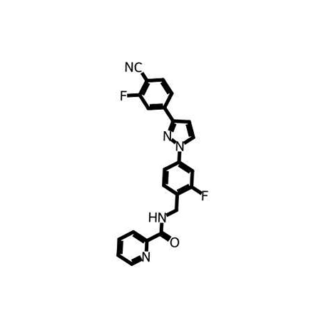 N#Cc1ccc(-c2ccn(-c3ccc(CNC(=O)c4ccccn4)c(F)c3)n2)cc1F